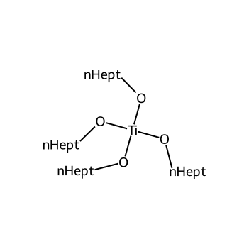 CCCCCCC[O][Ti]([O]CCCCCCC)([O]CCCCCCC)[O]CCCCCCC